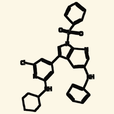 O=S(=O)(c1ccccc1)n1cc(-c2cc(Cl)nc(NC3CCCCC3)c2)c2cc(Nc3ccccc3)cnc21